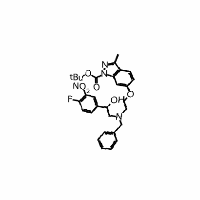 Cc1nn(C(=O)OC(C)(C)C)c2cc(OCCN(Cc3ccccc3)C[C@H](O)c3ccc(F)c([N+](=O)[O-])c3)ccc12